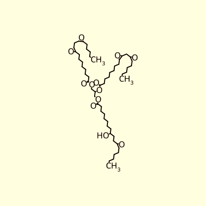 CCCCCC1OC1CCC(O)CCCCCCCC(=O)OCC(COC(=O)CCCCCCCC1OC1CC1OC1CCCCC)OC(=O)CCCCCCCC1OC1CC1OC1CCCCC